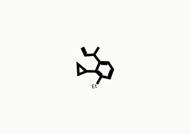 C=C[C](C)c1cccc(CC)c1C1CC1